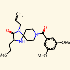 C=CCN1C(=O)C(CCSC)NC12CCN(C(=O)c1cc(OC)cc(OC)c1)CC2